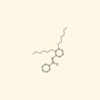 CCCCCCc1cccc(N=[N+]([O-])c2ccccc2)c1CCCCCC